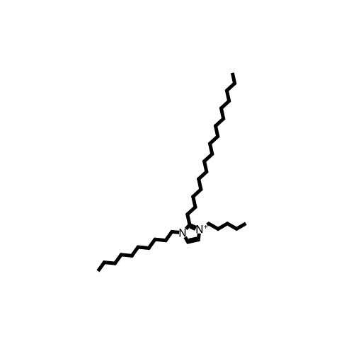 CCCCCCCCCCCCCCCCCc1n(CCCCCCCCCC)cc[n+]1CCCCC